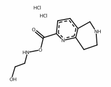 Cl.Cl.O=C(ONCCO)c1ccc2c(n1)CCNC2